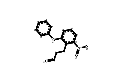 O=CCCc1c(Oc2ccccc2)cccc1[N+](=O)[O-]